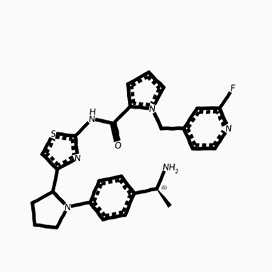 C[C@H](N)c1ccc(N2CCCC2c2csc(NC(=O)c3cccn3Cc3ccnc(F)c3)n2)cc1